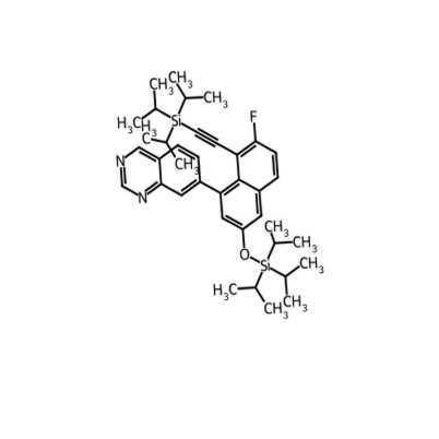 CC(C)[Si](C#Cc1c(F)ccc2cc(O[Si](C(C)C)(C(C)C)C(C)C)cc(-c3ccc4cncnc4c3)c12)(C(C)C)C(C)C